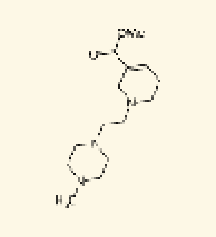 COC(=O)C1=CCCN(CCN2CCN(C)CC2)C1